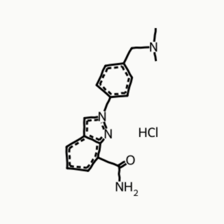 CN(C)Cc1ccc(-n2cc3cccc(C(N)=O)c3n2)cc1.Cl